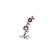 CS(C)(C)CCOC(=O)N1CC/C=C/[C@@H](OC(=O)Oc2ccc([N+](=O)[O-])cc2)CC1